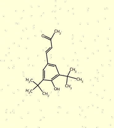 [CH2]C(=O)C=Cc1cc(C(C)(C)C)c(O)c(C(C)(C)C)c1